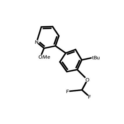 COc1ncccc1-c1ccc(OC(F)F)c(C(C)(C)C)c1